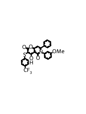 COc1cccc(-n2c(-c3ccccc3)cc3oc(=O)c(Sc4ccc(C(F)(F)F)cc4)c(O)c3c2=O)c1